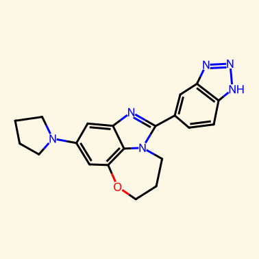 c1cc2[nH]nnc2cc1-c1nc2cc(N3CCCC3)cc3c2n1CCCO3